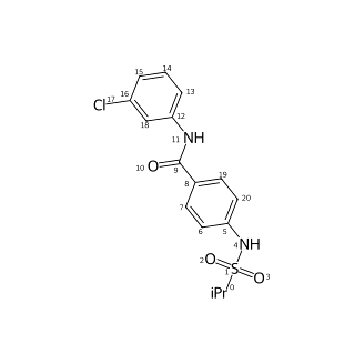 CC(C)S(=O)(=O)Nc1ccc(C(=O)Nc2cccc(Cl)c2)cc1